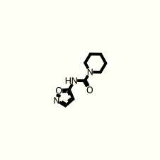 O=C(Nc1ccno1)N1CCCCC1